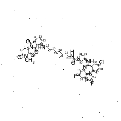 CN1C(=O)CCC(N2C(=O)c3cccc(NCCCCCCCCNC(=O)N4CCC(NC5=Nc6cc(F)ccc6N(CC(F)F)c6ccc(Cl)cc65)C4)c3C2=O)C1=O